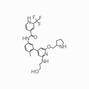 Cc1ccc(NC(=O)C2=CC(C(F)(F)F)NC=C2)cc1-c1cc(NCCO)nc(OCC2CCCN2)c1